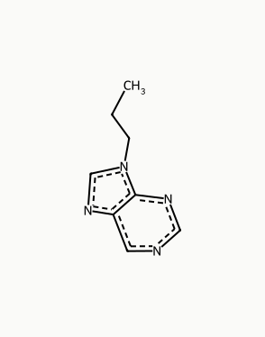 CCCn1cnc2cncnc21